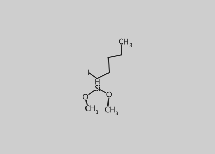 CCCCC(I)[SiH](OC)OC